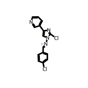 Clc1ccc(/C=N/n2cc(-c3cccnc3)nc2Cl)cc1